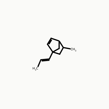 CC=CC12C=CC(C1)C(C)C2